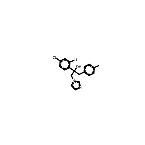 Cc1ccc(CC(O)(Cn2ccnc2)c2ccc(Cl)cc2Cl)cc1